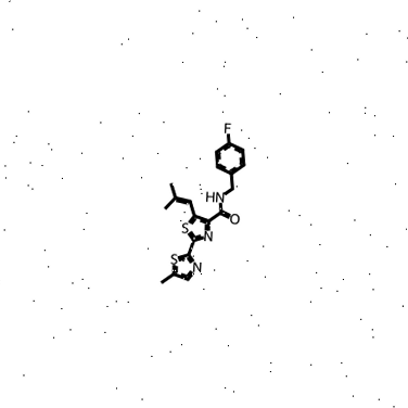 CC(C)=Cc1sc(-c2ncc(C)s2)nc1C(=O)NCc1ccc(F)cc1